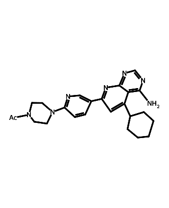 CC(=O)N1CCN(c2ccc(-c3cc(C4CCCCC4)c4c(N)ncnc4n3)cn2)CC1